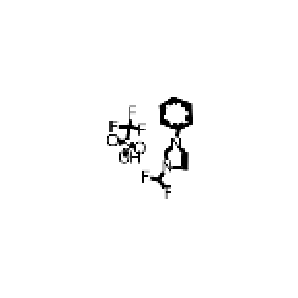 FC(F)N1C=CN(c2ccccc2)C1.O=S(=O)(O)C(F)(F)F